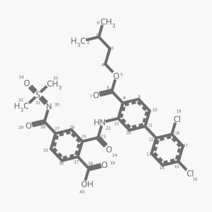 CC(C)CCOC(=O)c1ccc(-c2ccc(Cl)cc2Cl)cc1NC(=O)c1cc(C(=O)N=S(C)(C)=O)ccc1C(=O)O